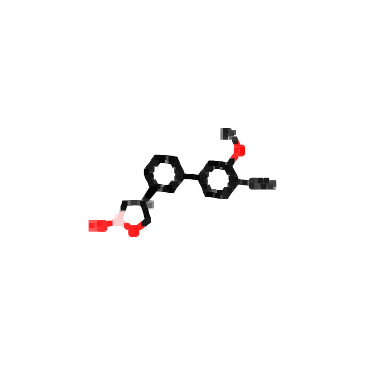 COc1ccc(-c2cccc([C@H]3COB(O)C3)c2)cc1OC(C)C